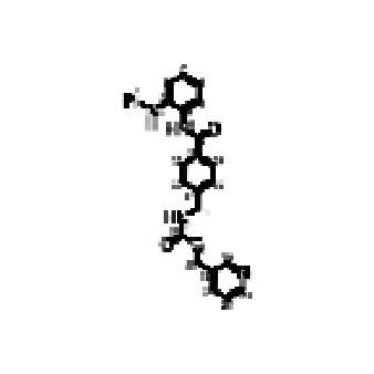 CC(C)Nc1ccccc1NC(=O)c1ccc(CNC(=O)OCc2cccnc2)cc1